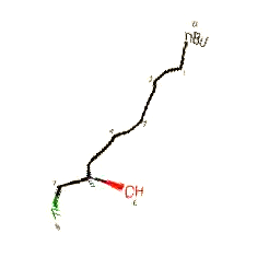 CCCCCCCC[C@@H](O)CF